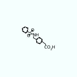 O=C(O)Cc1ccc(CNS(=O)(=O)c2ccccc2)cc1